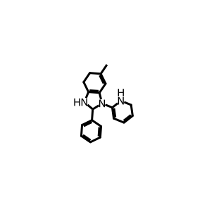 CC1=CC2=C(CC1)NC(c1ccccc1)N2C1=CC=CCN1